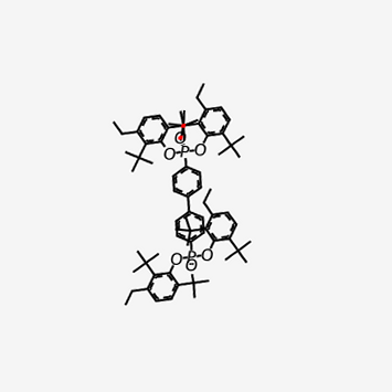 CCc1ccc(C(C)(C)C)c(OP(=O)(Oc2c(C(C)(C)C)ccc(CC)c2C(C)(C)C)c2ccc(-c3ccc(P(=O)(Oc4c(C(C)(C)C)ccc(CC)c4C(C)(C)C)Oc4c(C(C)(C)C)ccc(CC)c4C(C)(C)C)cc3)cc2)c1C(C)(C)C